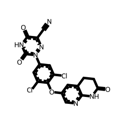 N#Cc1nn(-c2cc(Cl)c(Oc3cnc4c(c3)CCC(=O)N4)c(Cl)c2)c(=O)[nH]c1=O